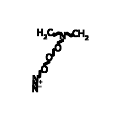 C=CCN(CC=C)CCOCCOCCOCCN=[N+]=[N-]